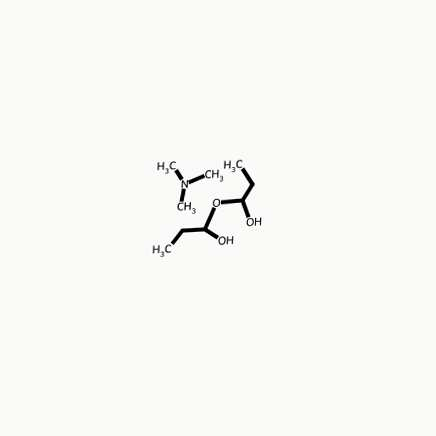 CCC(O)OC(O)CC.CN(C)C